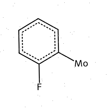 Fc1cccc[c]1[Mo]